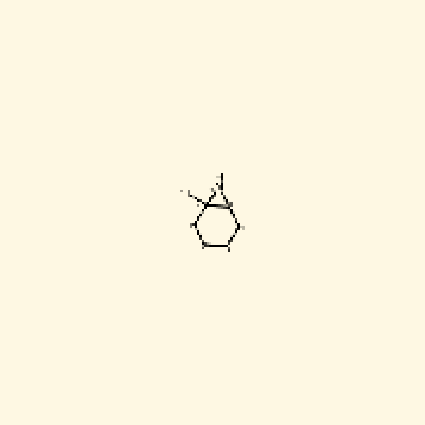 IC12CCCCC1N2